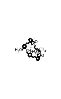 C=Cc1ccc(CCC23C=CC(C2)C2C(=O)N(CCC(C)CC(C)(C)CN4C(=O)C5C6C=CC(CCc7ccc(C=C)cc7)(C6)C5C4=O)C(=O)C23)cc1